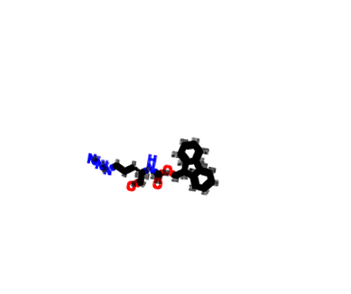 [N-]=[N+]=NCCC[C@@H](C=O)NC(=O)OCC1c2ccccc2-c2ccccc21